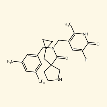 Cc1[nH]c(=O)c(F)cc1CN(Cc1cc(C(F)(F)F)cc(C(F)(F)F)c1)C(=O)C1(CC2CC2)CCNC1